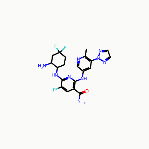 Cc1ncc(Nc2nc(NC3CCC(F)(F)CC3N)c(F)cc2C(N)=O)cc1-n1nccn1